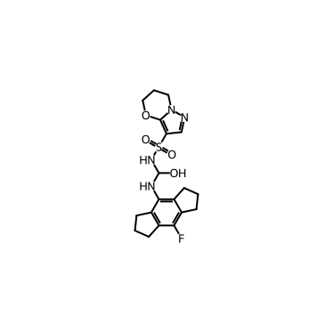 O=S(=O)(NC(O)Nc1c2c(c(F)c3c1CCC3)CCC2)c1cnn2c1OCCC2